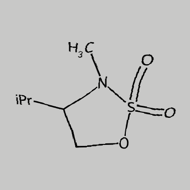 CC(C)C1COS(=O)(=O)N1C